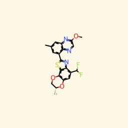 [CH2][C@@H]1COc2c(cc(C(F)F)c3nc(-c4cc(C)cc5nc(OC)cnc45)sc23)O1